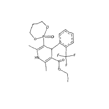 CCOC(=O)C1=C(C)NC(C)=C(P2(=O)OCCCO2)C1c1ccccc1C(F)(F)F